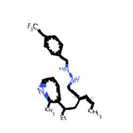 C/C=C\C(=C/NNCc1ccc(C(F)(F)F)cc1)CC(CC)c1cccnc1C